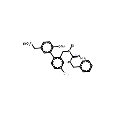 CCOC(=O)Cc1ccc(OC)c(-c2ccc(C(F)(F)F)cc2CN(CC)/C(=N/N)NCc2ccccc2)c1